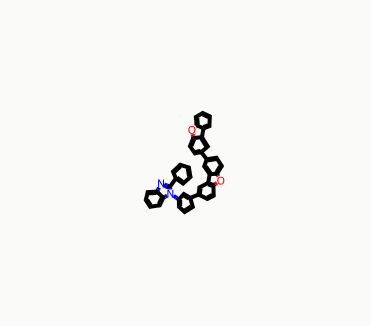 c1ccc(-c2nc3ccccc3n2-c2cccc(-c3ccc4oc5ccc(-c6ccc7oc8ccccc8c7c6)cc5c4c3)c2)cc1